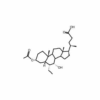 CC[C@H]1[C@@H](O)C2C3CC[C@H]([C@H](C)CCC(=O)O)[C@@]3(C)CCC2[C@@]2(C)CC[C@@H](OC(C)=O)C[C@@H]12